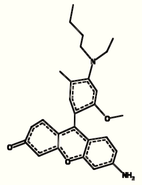 CCCCN(CC)c1cc(OC)c(-c2c3ccc(=O)cc-3oc3cc(N)ccc23)cc1C